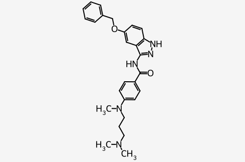 CN(C)CCCN(C)c1ccc(C(=O)Nc2n[nH]c3ccc(OCc4ccccc4)cc23)cc1